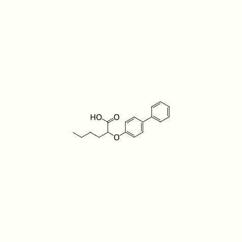 CCCCC(Oc1ccc(-c2ccccc2)cc1)C(=O)O